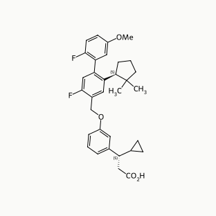 COc1ccc(F)c(-c2cc(F)c(COc3cccc([C@@H](CC(=O)O)C4CC4)c3)cc2[C@H]2CCCC2(C)C)c1